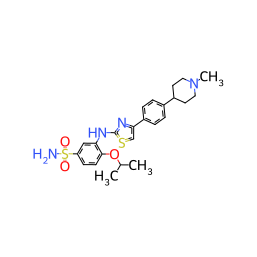 CC(C)Oc1ccc(S(N)(=O)=O)cc1Nc1nc(-c2ccc(C3CCN(C)CC3)cc2)cs1